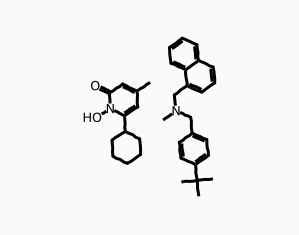 CN(Cc1ccc(C(C)(C)C)cc1)Cc1cccc2ccccc12.Cc1cc(C2CCCCC2)n(O)c(=O)c1